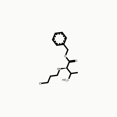 CC(C(=O)O)[C@@H](NCCCCl)C(=O)OCc1ccccc1